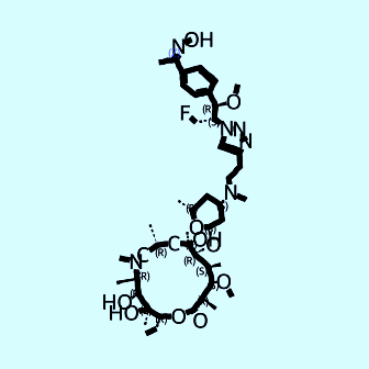 CC[C@H]1OC(=O)[C@H](C)[C@@H](OC)[C@H](C)[C@@H](O[C@H]2C[C@@H](N(C)CCc3cn([C@H](CF)[C@H](OC)c4ccc(/C(C)=N\O)cc4)nn3)C[C@@H](C)O2)[C@](C)(O)C[C@@H](C)CN(C)[C@H](C)[C@@H](O)[C@]1(C)O